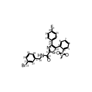 CS(=O)(=O)c1ccccc1-c1sc(C(=O)NCc2cccc(Br)c2)nc1-c1ccc(F)cc1